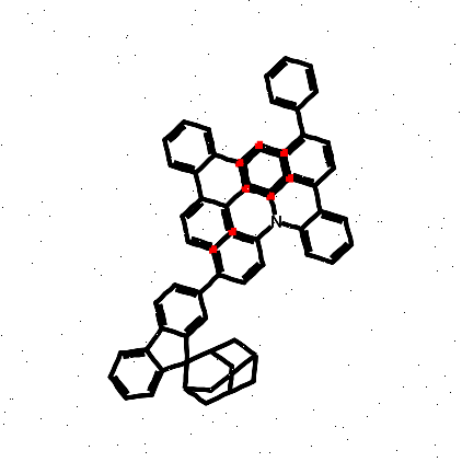 c1ccc(-c2ccc(-c3ccccc3N(c3ccc(-c4ccc5c(c4)C4(c6ccccc6-5)C5CC6CC(C5)CC4C6)cc3)c3ccccc3-c3ccccc3-c3ccccc3-c3ccccc3)cc2)cc1